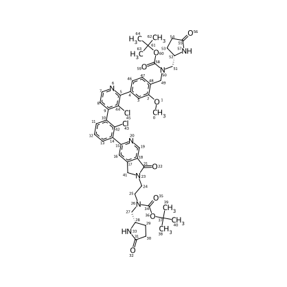 COc1cc(-c2nccc(-c3cccc(-c4cc5c(cn4)C(=O)N(CCN(C[C@@H]4CCC(=O)N4)C(=O)OC(C)(C)C)C5)c3Cl)c2Cl)ccc1CN(C[C@@H]1CCC(=O)N1)C(=O)OC(C)(C)C